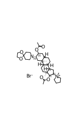 CC(=O)O[C@H]1C[C@@H]2CC[C@@H]3[C@H](CC[C@@]4(C)[C@H]3C[C@H]([N+]3(C)CCCC3)[C@@H]4OC(C)=O)[C@@]2(C)C[C@@H]1N1CCC2(CC1)OCCO2.[Br-]